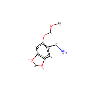 CCOCOc1cc2c(cc1CN)OCO2